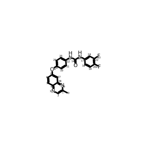 Cc1cnc2ccc(Oc3ccc(NC(=O)Nc4ccc(F)c(F)c4)cc3)cc2n1